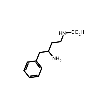 NC(CCNC(=O)O)Cc1ccccc1